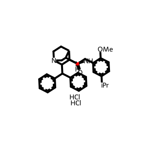 COc1ccc(C(C)C)cc1CNC1C2CCN(CC2C(N)=O)C1C(c1ccccc1)c1ccccc1.Cl.Cl